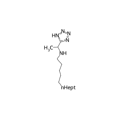 CCCCCCCCCCCCNC(C)c1nnn[nH]1